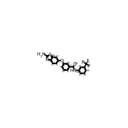 Nc1nc2ccc(Oc3cccc(C(=O)Nc4cccc(C(F)(F)F)c4)c3)cc2s1